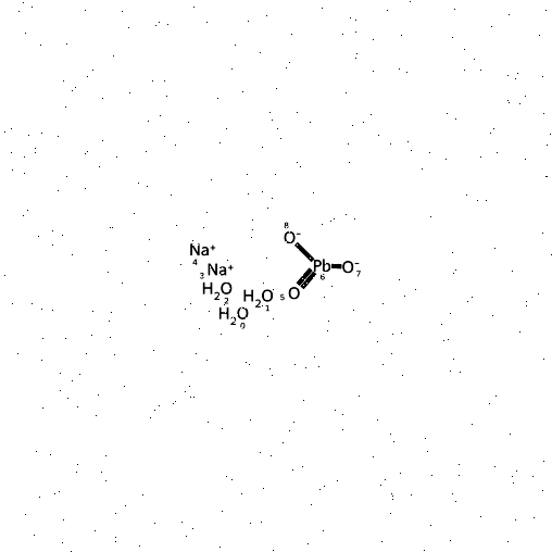 O.O.O.[Na+].[Na+].[O]=[Pb]([O-])[O-]